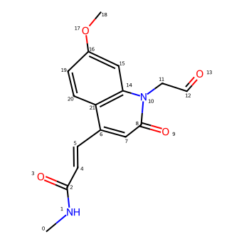 CNC(=O)/C=C/c1cc(=O)n(CC=O)c2cc(OC)ccc12